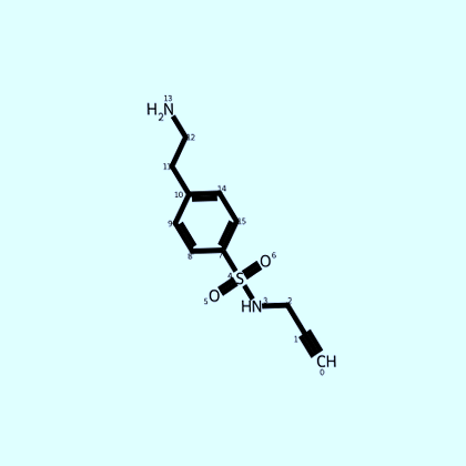 C#CCNS(=O)(=O)c1ccc(CCN)cc1